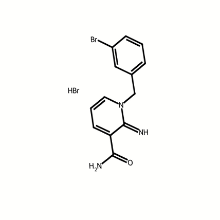 Br.N=c1c(C(N)=O)cccn1Cc1cccc(Br)c1